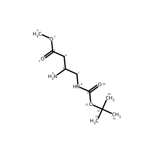 COC(=O)CC(N)CNC(=O)OC(C)(C)C